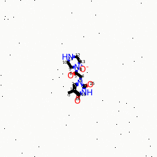 Cc1cn(CC(=O)[N+]2([O-])CCNCC2)c(=O)[nH]c1=O